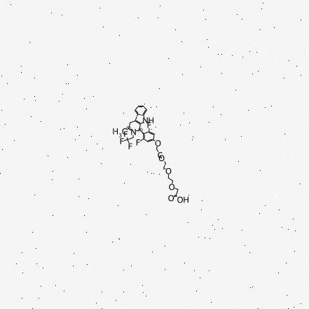 C[C@@H]1Cc2c([nH]c3ccccc23)[C@@H](c2c(F)cc(OCCOCCOCCOCC(=O)O)cc2F)N1CC(F)(F)F